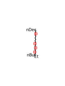 CCCCCCCCCCCCOCCCCCCOCCOCCOCC(CC)CCCC